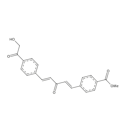 COC(=O)c1ccc(/C=C/C(=O)/C=C/c2ccc(C(=O)CO)cc2)cc1